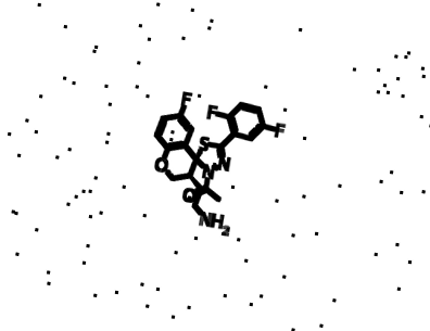 CC(=O)N1N=C(c2cc(F)ccc2F)S[C@@]12c1cc(F)ccc1OC[C@@H]2CCN